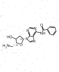 NC[C@H]1O[C@@H](n2cnc3c(NC(=O)c4ccccc4)ncnc32)CC1O